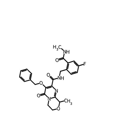 CNC(=O)c1cc(F)ccc1CNC(=O)c1nc2n(c(=O)c1OCc1ccccc1)CCOC2C